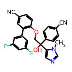 Cn1cncc1C(O)(COc1ccc(C#N)cc1-c1cc(F)cc(F)c1)c1ccc(C#N)cc1